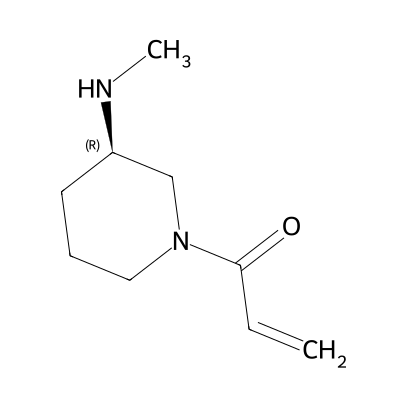 C=CC(=O)N1CCC[C@@H](NC)C1